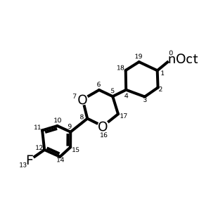 CCCCCCCCC1CCC(C2COC(c3ccc(F)cc3)OC2)CC1